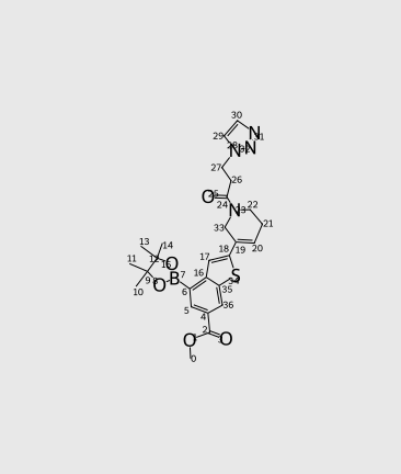 COC(=O)c1cc(B2OC(C)(C)C(C)(C)O2)c2cc(C3=CCCN(C(=O)CCn4ccnn4)C3)sc2c1